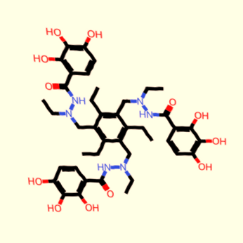 CCc1c(CN(CC)NC(=O)c2ccc(O)c(O)c2O)c(CC)c(CN(CC)NC(=O)c2ccc(O)c(O)c2O)c(CC)c1CN(CC)NC(=O)c1ccc(O)c(O)c1O